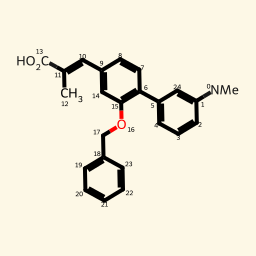 CNc1cccc(-c2ccc(/C=C(\C)C(=O)O)cc2OCc2ccccc2)c1